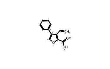 C=Cc1c(-c2ccccc2)coc1C(=O)O